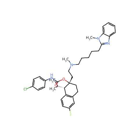 CC(C)[C@H]1c2ccc(F)cc2CC[C@@]1(CCN(C)CCCCCc1nc2ccccc2n1C)OC(=O)Nc1ccc(Cl)cc1